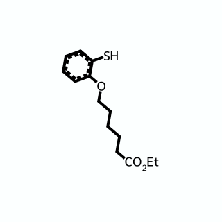 CCOC(=O)CCCCCOc1ccccc1S